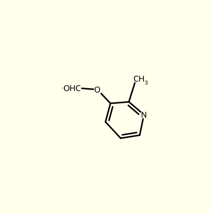 Cc1ncccc1O[C]=O